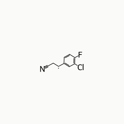 N#CC[CH]c1ccc(F)c(Cl)c1